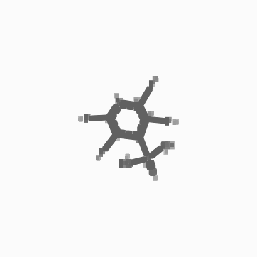 O=P(O)(O)c1c(F)c(F)nc(F)c1F